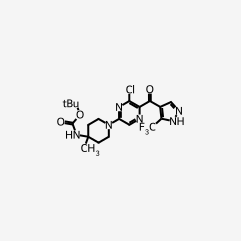 CC1(NC(=O)OC(C)(C)C)CCN(c2cnc(C(=O)c3cn[nH]c3C(F)(F)F)c(Cl)n2)CC1